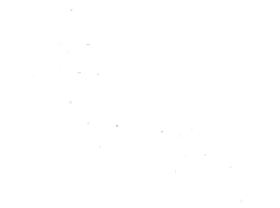 Cc1ccc(S(=O)(=O)OCC(C)(C)c2ccc(C(=O)c3ccccc3)cc2)cc1